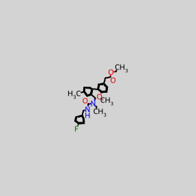 CCOC(=O)Cc1ccc(OC)c(-c2ccc(C)cc2CN(CC)C(=O)NCc2ccc(F)cc2)c1